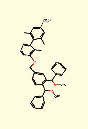 Cc1cc(C(=O)O)cc(C)c1-c1cccc(OCc2ccc(C(OC=O)c3ccccc3)c(C(OC=O)c3ccccc3)c2)c1C